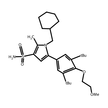 COCCOc1c(C(C)(C)C)cc(-c2cc(S(N)(=O)=O)c(C)n2CC2CCCCC2)cc1C(C)(C)C